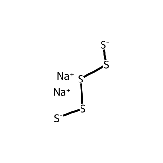 [Na+].[Na+].[S-]SSS[S-]